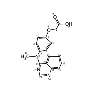 CN(c1ccc(OCC(=O)O)cc1)c1ncnc2ccccc12